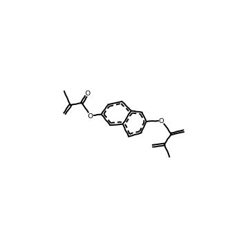 C=C(C)C(=C)Oc1ccc2cc(OC(=O)C(=C)C)ccc2c1